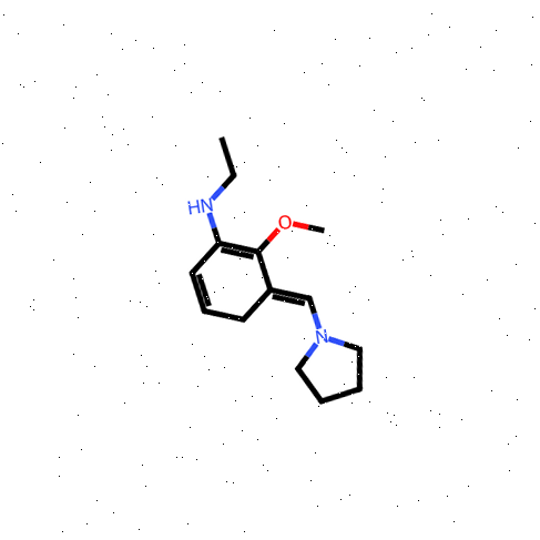 CCNC1=C(OC)C(=CN2CCCC2)CC=C1